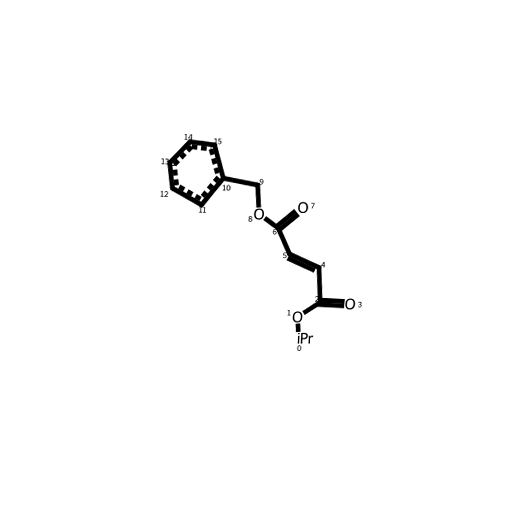 CC(C)OC(=O)C=CC(=O)OCc1ccccc1